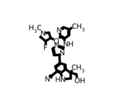 Cc1cnc(OC2CN(C)CC2F)c(Nc2nccc(-c3cc(C#N)c4c(c3)C(C)(CO)CN4)n2)c1